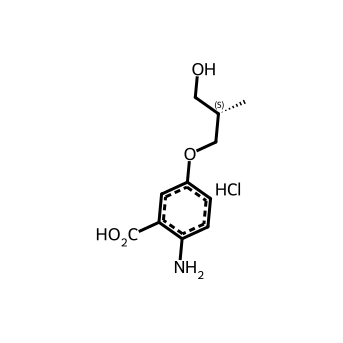 C[C@@H](CO)COc1ccc(N)c(C(=O)O)c1.Cl